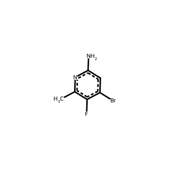 Cc1nc(N)cc(Br)c1F